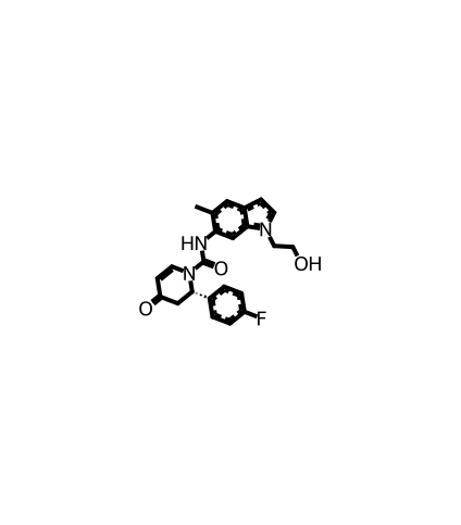 Cc1cc2ccn(CCO)c2cc1NC(=O)N1C=CC(=O)C[C@H]1c1ccc(F)cc1